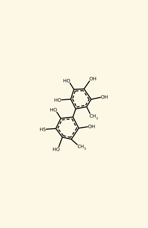 Cc1c(O)c(S)c(O)c(-c2c(C)c(O)c(O)c(O)c2O)c1O